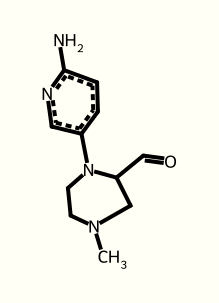 CN1CCN(c2ccc(N)nc2)C(C=O)C1